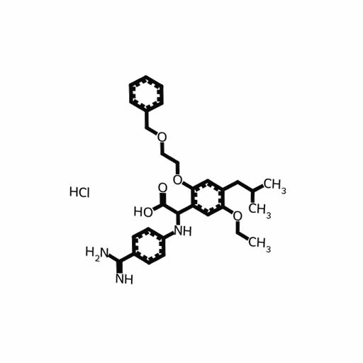 CCOc1cc(C(Nc2ccc(C(=N)N)cc2)C(=O)O)c(OCCOCc2ccccc2)cc1CC(C)C.Cl